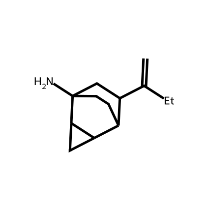 C=C(CC)C1CC2(N)CCC1C1CC12